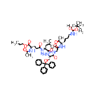 C=CCOC(=O)[C@H](CCC(=O)N[C@@H](CC(C)C)C(=O)N[C@@H](COC(c1ccccc1)(c1ccccc1)c1ccccc1)C(=O)NCC(=O)N[C@@H](CCCCNC(=O)OC(C)(C)C)C(C)=O)NC(C)=O